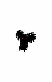 Fc1cc(F)c(F)c(-c2c(F)c(F)c(-c3c(F)c(-c4c(F)c(F)c(-c5c(F)c(F)c(F)c(F)c5F)c(F)c4F)c(F)c(-c4c(F)c(F)c(-c5c(F)c(F)c(F)c(F)c5F)c(F)c4F)c3F)c(F)c2F)c1F